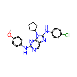 COc1ccc(Nc2ncc3nc(Nc4ccc(Cl)cc4)n(C4CCCC4)c3n2)cc1